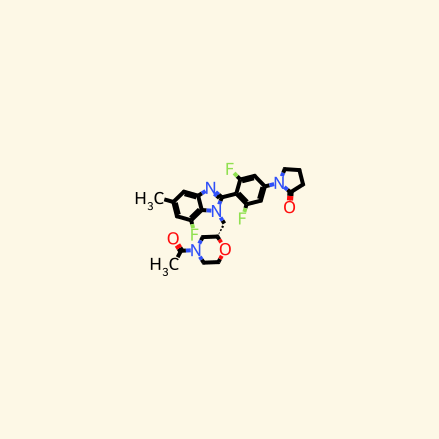 CC(=O)N1CCO[C@@H](Cn2c(-c3c(F)cc(N4CCCC4=O)cc3F)nc3cc(C)cc(F)c32)C1